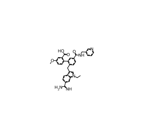 CCn1cc(Cc2ccc(C(=O)NCc3cccnc3)cc2-c2ccc(OC)cc2C(=O)O)c2ccc(C(=N)N)cc21